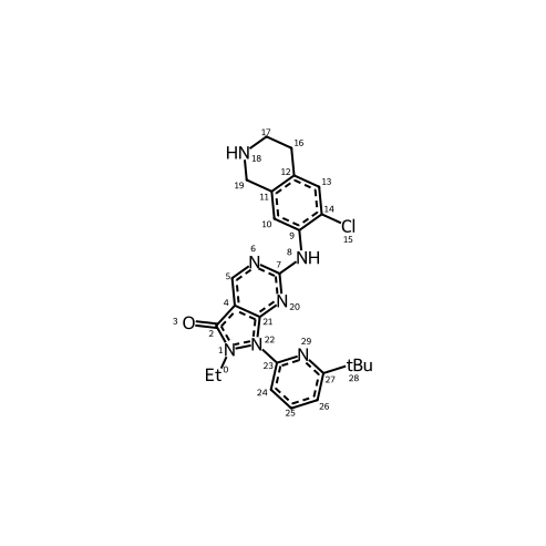 CCn1c(=O)c2cnc(Nc3cc4c(cc3Cl)CCNC4)nc2n1-c1cccc(C(C)(C)C)n1